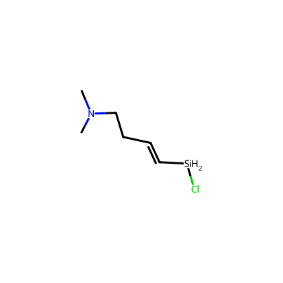 CN(C)CCC=C[SiH2]Cl